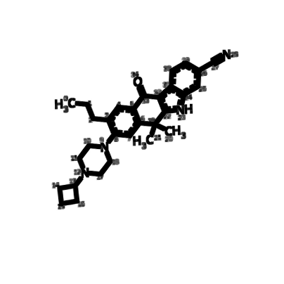 CCCc1cc2c(cc1N1CCN(C3CCC3)CC1)C(C)(C)c1[nH]c3cc(C#N)ccc3c1C2=O